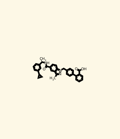 Cc1nn(Cc2ccc(-c3ccccc3C(=O)O)cc2)c2ccc(C(=O)N[C@@H](C)c3cccc(C4CC4)c3)cc12